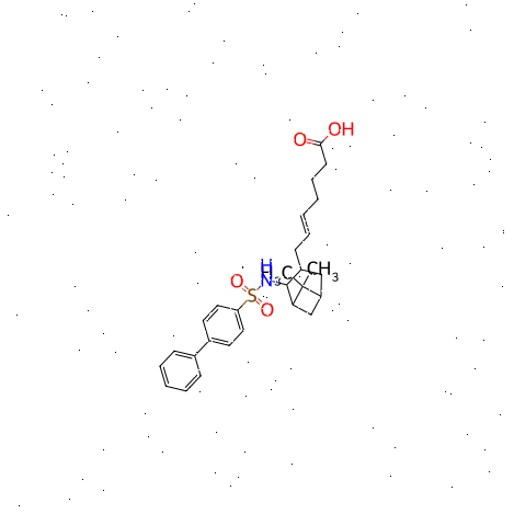 CC1(C)C2CC(CC=CCCCC(=O)O)C(NS(=O)(=O)c3ccc(-c4ccccc4)cc3)C1C2